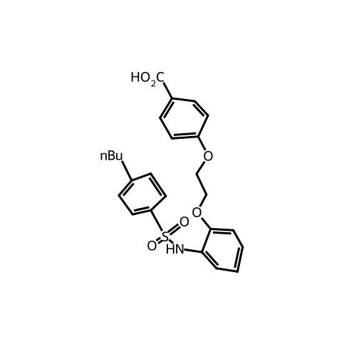 CCCCc1ccc(S(=O)(=O)Nc2ccccc2OCCOc2ccc(C(=O)O)cc2)cc1